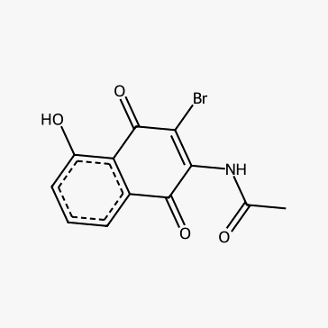 CC(=O)NC1=C(Br)C(=O)c2c(O)cccc2C1=O